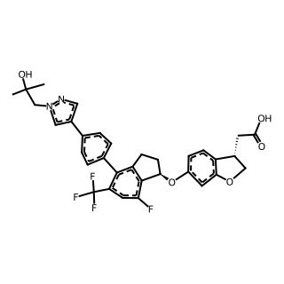 CC(C)(O)Cn1cc(-c2ccc(-c3c(C(F)(F)F)cc(F)c4c3CC[C@H]4Oc3ccc4c(c3)OC[C@H]4CC(=O)O)cc2)cn1